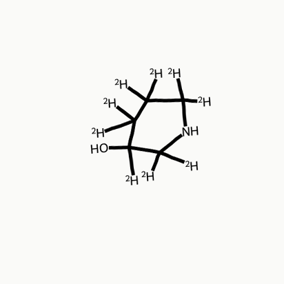 [2H]C1([2H])NC([2H])([2H])C([2H])(O)C([2H])([2H])C1([2H])[2H]